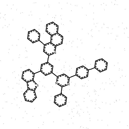 c1ccc(-c2ccc(-c3cc(-c4cc(-c5cc(-c6ccccc6)c6c(ccc7ccccc76)n5)cc(-c5cccc6c5sc5ccccc56)c4)nc(-c4ccccc4)n3)cc2)cc1